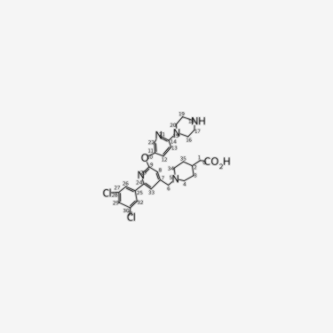 O=C(O)CC1CCN(Cc2cc(Oc3ccc(N4CCNCC4)nc3)nc(-c3cc(Cl)cc(Cl)c3)c2)CC1